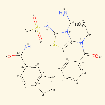 CS(=O)(=O)NC1SC=C(N(CC(=O)O)C(=O)c2ccccc2)N1CN.NC(=O)c1ccc2c(c1)CCC2